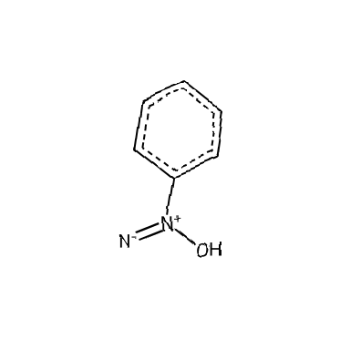 [N-]=[N+](O)c1ccccc1